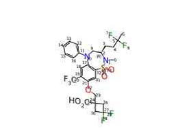 CN1[C@H](CCC(C)(F)F)CN(c2ccccc2)c2cc(C(F)(F)F)c(OCC3(C(=O)O)CC(F)(F)C3)cc2S1(=O)=O